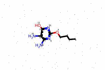 CCCCOc1nc(N)c(N)c(O)n1